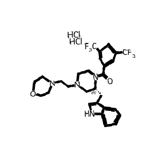 Cl.Cl.O=C(c1cc(C(F)(F)F)cc(C(F)(F)F)c1)N1CCN(CCN2CCOCC2)C[C@H]1Cc1c[nH]c2ccccc12